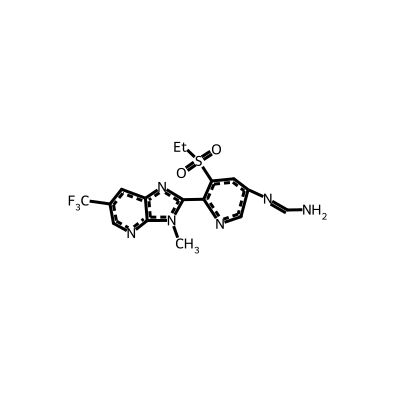 CCS(=O)(=O)c1cc(/N=C/N)cnc1-c1nc2cc(C(F)(F)F)cnc2n1C